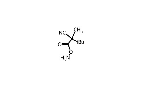 CCC(C)C(C)(C#N)C(=O)ON